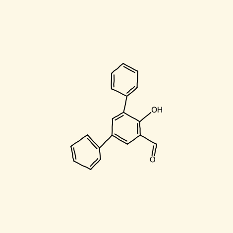 O=Cc1cc(-c2ccccc2)cc(-c2ccccc2)c1O